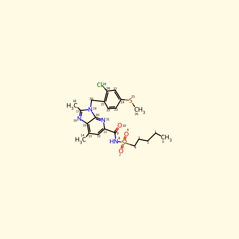 CCCCCS(=O)(=O)NC(=O)c1cc(C)c2nc(C)n(Cc3ccc(SC)cc3Cl)c2n1